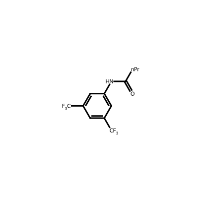 [CH2]CCC(=O)Nc1cc(C(F)(F)F)cc(C(F)(F)F)c1